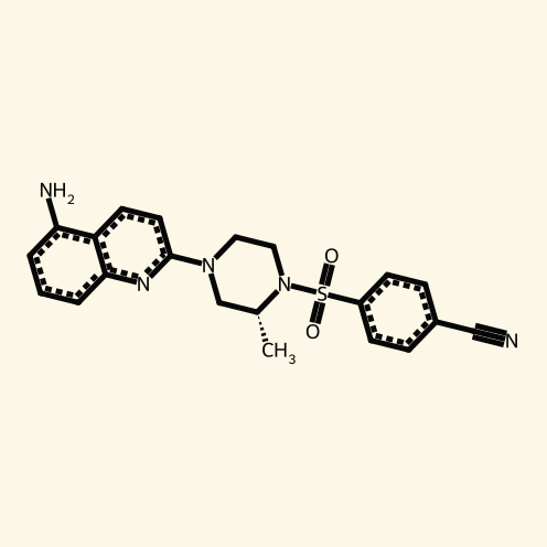 C[C@@H]1CN(c2ccc3c(N)cccc3n2)CCN1S(=O)(=O)c1ccc(C#N)cc1